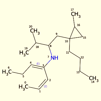 C/C=C\C(=C/CC)NC(CC1(CCCC)CC1C)C(C)C